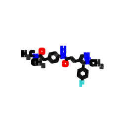 CN(C)C(=O)Cc1ccc(NC(=O)C=Cc2cnn(C)c2-c2ccc(F)cc2)cc1